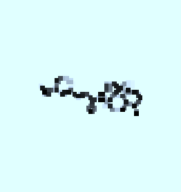 COc1cccc(/C=C/C(=O)O[C@]2(C)CC[C@@]34C[C@@H]2C(C)(C)[C@@H]3CC[C@H]4C)c1